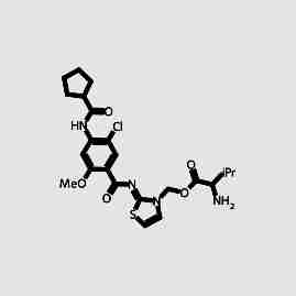 COc1cc(NC(=O)C2CCCC2)c(Cl)cc1C(=O)/N=c1\sccn1COC(=O)C(N)C(C)C